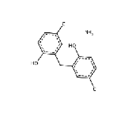 N.Oc1ccc(Cl)cc1Cc1cc(Cl)ccc1O